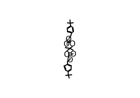 CC(C)(C)c1ccc(COP2OCC3(CO2)COP(OCc2ccc(C(C)(C)C)cc2)OC3)cc1